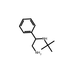 CC(C)(C)NC(CN)c1ccccc1